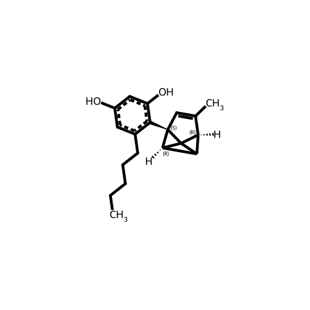 CCCCCc1cc(O)cc(O)c1[C@]12C=C(C)[C@H]3C4[C@@H]1C432